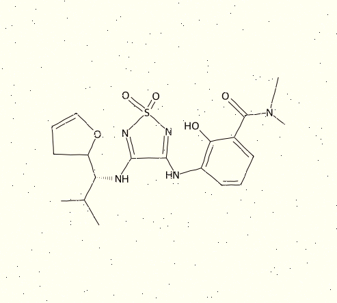 CC(C)[C@@H](NC1=NS(=O)(=O)N=C1Nc1cccc(C(=O)N(C)C)c1O)C1CC=CO1